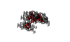 CCCCN(c1nc(NCCCN(CCCN)CCCN(CCCNc2nc(N(CCCC)C3CC(C)(C)NC(C)(C)C3)nc(N(CCCC)C3CC(C)(C)NC(C)(C)C3)n2)CCCNc2nc3nc(n2)N(CCCC)C2CC(C)(C)NC4(C2)CC2(CC(CC(C)(C)N2)N3CCCC)C4)nc(N(CCCC)C2CC(C)(C)NC(C)(C)C2)n1)C1CC(C)(C)NC(C)(C)C1